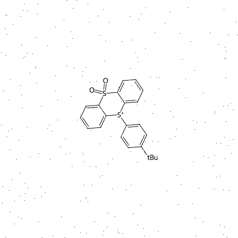 CC(C)(C)c1ccc([S+]2c3ccccc3S(=O)(=O)c3ccccc32)cc1